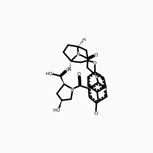 O=C(O)[C@@H]1C[C@H](O)CN1C(=O)c1cc(Cl)cnc1NCC(=O)N1[C@@H]2CC[C@H]1CC(Oc1ccc(F)cc1)C2